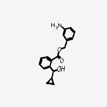 Nc1cccc(COC(=O)c2ccccc2C(O)C2CC2)c1